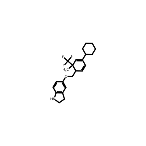 CC1(C(F)(F)F)C=C(C2CCCCC2)C=CC1COc1ccc2c(c1)CCN2